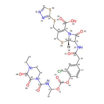 CCN1CCN(C(=O)NC(C)OC(=O)Oc2ccc(CC(=O)NC3C(=O)N4C(C(=O)O)=C(CSc5nncs5)CS[C@@H]34)cc2Cl)C(=O)C1=O